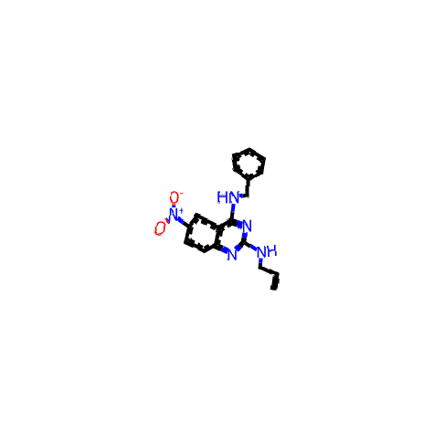 C=CCNc1nc(NCc2ccccc2)c2cc([N+](=O)[O-])ccc2n1